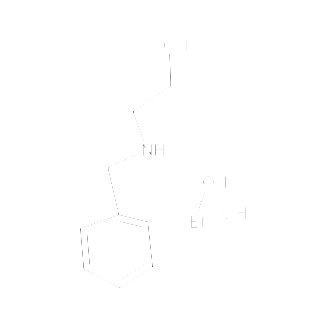 CCO.Cl.OCCNCc1ccccc1